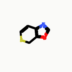 C1=Cc2ncoc2CS1